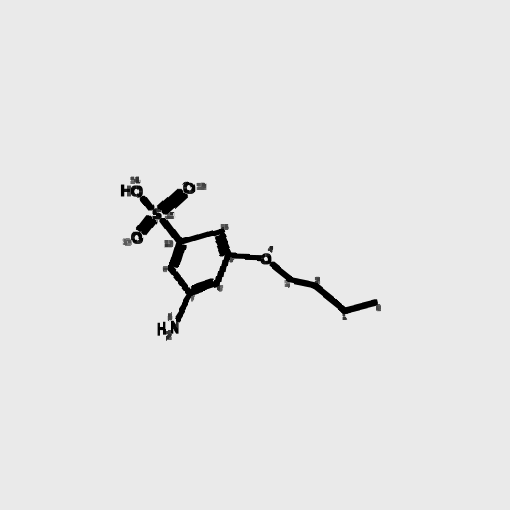 CCCCOc1cc(N)cc(S(=O)(=O)O)c1